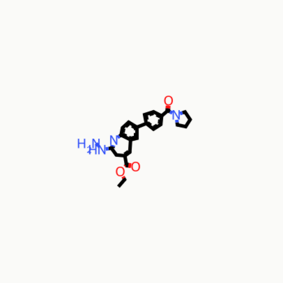 CCOC(=O)C1=Cc2cc(-c3ccc(C(=O)N4CCCC4)cc3)ccc2N=C(NN)C1